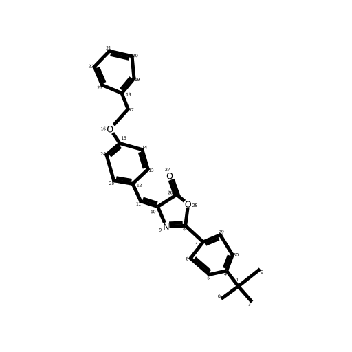 CC(C)(C)c1ccc(C2=NC(=Cc3ccc(OCc4ccccc4)cc3)C(=O)O2)cc1